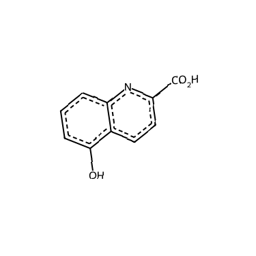 O=C(O)c1ccc2c(O)cccc2n1